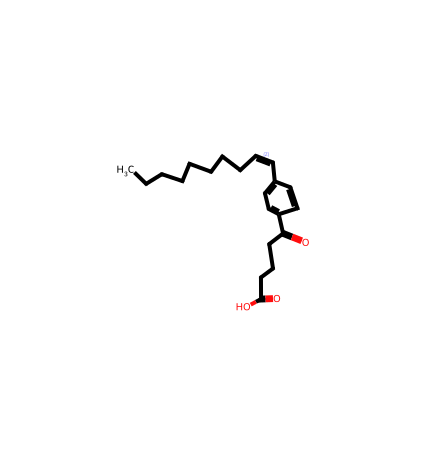 CCCCCCCC/C=C\c1ccc(C(=O)CCCC(=O)O)cc1